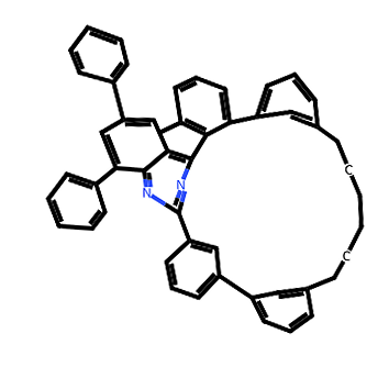 Cc1cccc2c1-c1nc(nc3c(-c4ccccc4)cc(-c4ccccc4)cc13)-c1cccc(c1)-c1cccc(c1)CCCCCCc1cccc-2c1